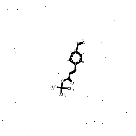 CC(C)(C)OC(=O)/C=C/c1ccc(C=O)cc1